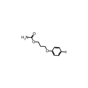 NC(=O)OCCCOc1ccc(I)cc1